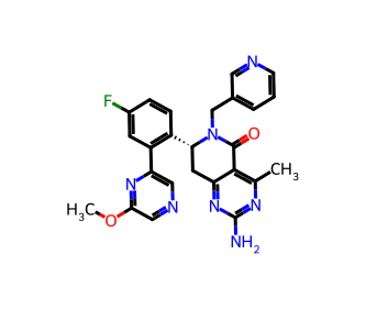 COc1cncc(-c2cc(F)ccc2[C@H]2Cc3nc(N)nc(C)c3C(=O)N2Cc2cccnc2)n1